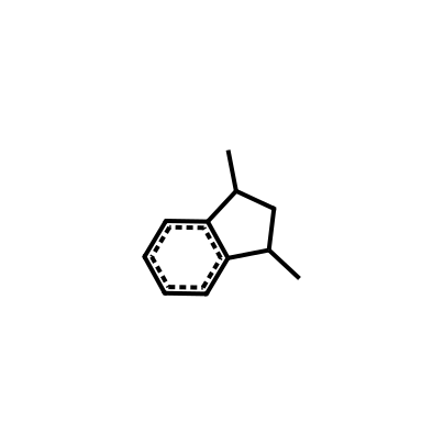 CC1CC(C)c2ccccc21